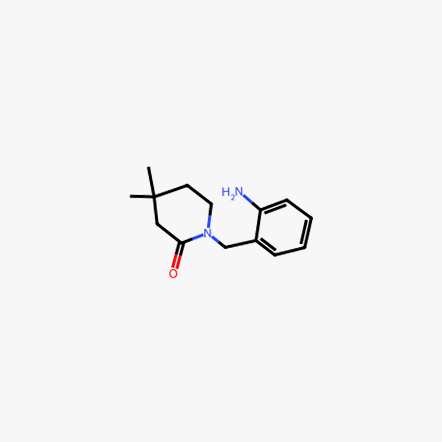 CC1(C)CCN(Cc2ccccc2N)C(=O)C1